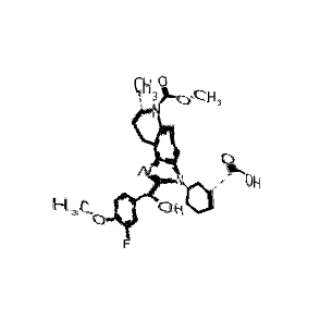 COC(=O)N1c2ccc3c(nc([C@@H](O)c4ccc(OC)c(F)c4)n3[C@@H]3CCC[C@@H](C(=O)O)C3)c2CC[C@@H]1C